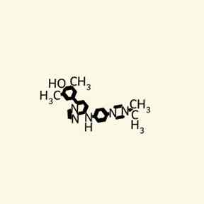 Cc1cc(-c2ccc(Nc3ccc(N4CCN(C(C)C)CC4)cc3)c3nccn23)cc(C)c1O